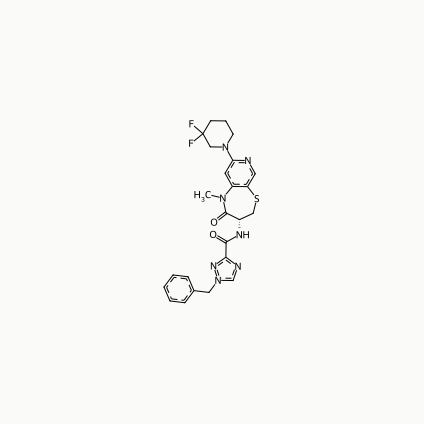 CN1C(=O)[C@@H](NC(=O)c2ncn(Cc3ccccc3)n2)CSc2cnc(N3CCCC(F)(F)C3)cc21